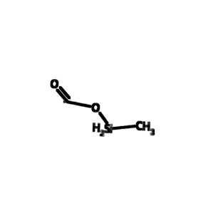 C[SiH2]O[C]=O